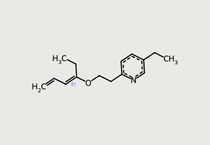 C=C/C=C(\CC)OCCc1ccc(CC)cn1